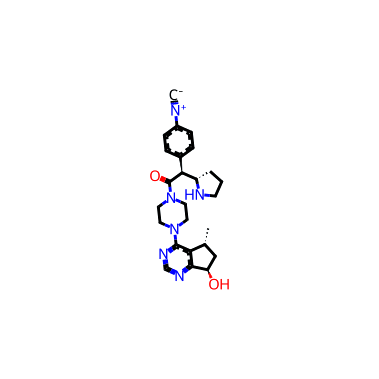 [C-]#[N+]c1ccc([C@H](C(=O)N2CCN(c3ncnc4c3[C@H](C)C[C@H]4O)CC2)[C@@H]2CCCN2)cc1